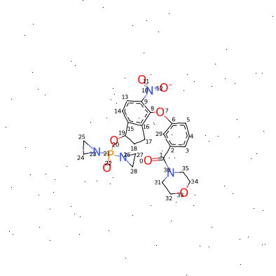 O=C(c1cccc(Oc2c([N+](=O)[O-])ccc3c2CCC3OP(=O)(N2CC2)N2CC2)c1)N1CCOCC1